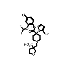 CC(C)c1ccnn1C1(C(=O)Nc2ccc(Cl)cc2OC(F)F)CCN(CC2(C(=O)O)CCOC2)CC1